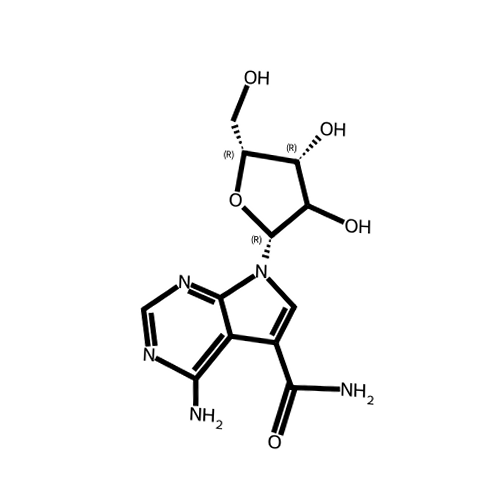 NC(=O)c1cn([C@@H]2O[C@H](CO)[C@H](O)C2O)c2ncnc(N)c12